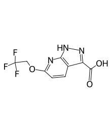 O=C(O)c1n[nH]c2nc(OCC(F)(F)F)ccc12